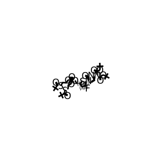 C[C@H]1[C@H](F)[C@H](n2ccc(N(C(=O)OC(C)(C)C)C(=O)OC(C)(C)C)nc2=O)S[C@@H]1COP(=O)(OCCSC(=O)C(C)(C)C)OCCSC(=O)C(C)(C)C